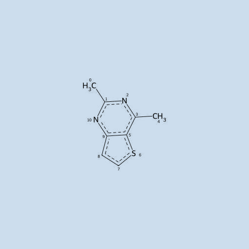 Cc1nc(C)c2sccc2n1